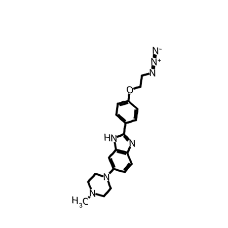 CN1CCN(c2ccc3nc(-c4ccc(OCCN=[N+]=[N-])cc4)[nH]c3c2)CC1